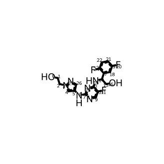 OCCn1cc(Nc2ncc(F)c(NC(CO)c3cc(F)ccc3F)n2)cn1